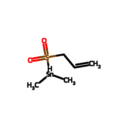 C=CC[S](=O)(=O)[SnH]([CH3])[CH3]